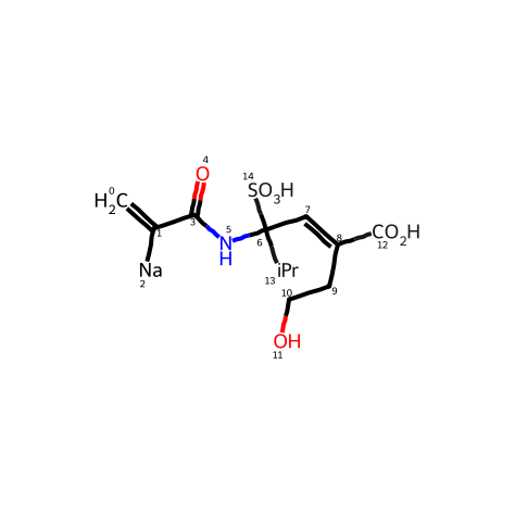 C=[C]([Na])C(=O)NC(C=C(CCO)C(=O)O)(C(C)C)S(=O)(=O)O